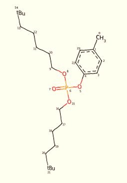 Cc1ccc(OP(=O)(OCCCCCC(C)(C)C)OCCCCCC(C)(C)C)cc1